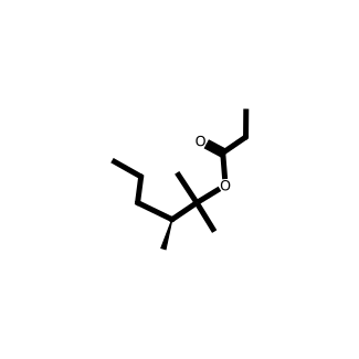 CCC[C@H](C)C(C)(C)OC(=O)CC